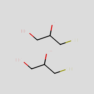 OCC(O)CS.OCC(O)CS